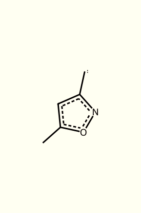 [CH]c1cc(C)on1